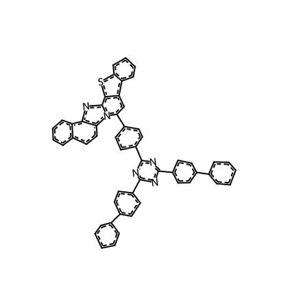 c1ccc(-c2ccc(-c3nc(-c4ccc(-c5ccccc5)cc4)nc(-c4ccc(-c5cc6c7ccccc7sc6c6nc7c8ccccc8ccc7n56)cc4)n3)cc2)cc1